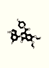 O=C(c1cn(-c2cc(F)cc3[nH]ccc23)c(=O)c2cc(OCF)c(OCF)cc12)N1CCC(F)CC1